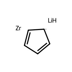 [CH]1C=CC=C1.[LiH].[Zr]